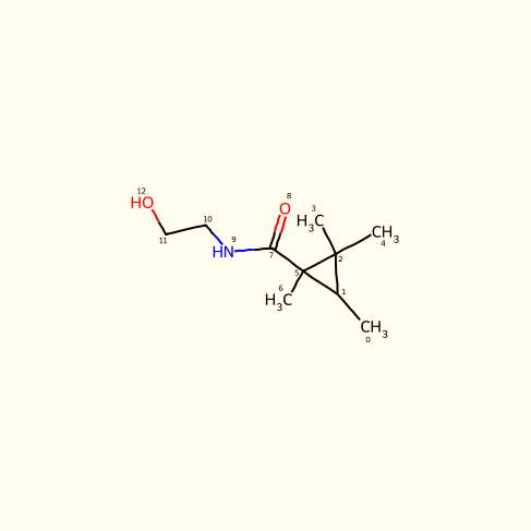 CC1C(C)(C)C1(C)C(=O)NCCO